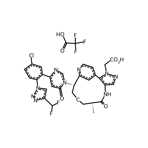 C[C@@H]1CCC[C@H](n2cnc(-c3cc(Cl)ccc3-n3cc(C(F)F)nn3)cc2=O)c2cc(ccn2)-c2c(cnn2CC(=O)O)NC1=O.O=C(O)C(F)(F)F